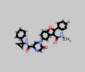 CNC(=O)c1c(-c2ccc(F)cc2)oc2ccc(-n3cc(C(=O)NC4(c5ccccc5)CC4)ncc3=O)cc12